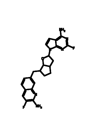 Nc1nc2cc(CC3CCC4CC(n5ccc6c(N)nc(F)nc65)OC34)ccc2cc1F